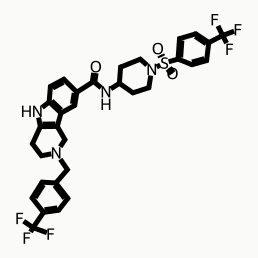 O=C(NC1CCN(S(=O)(=O)c2ccc(C(F)(F)F)cc2)CC1)c1ccc2[nH]c3c(c2c1)CN(Cc1ccc(C(F)(F)F)cc1)CC3